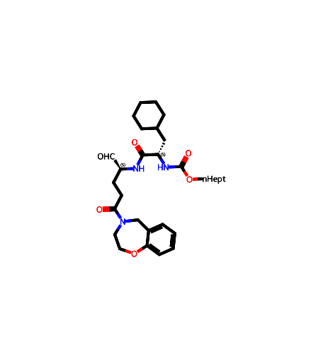 CCCCCCCOC(=O)N[C@@H](CC1CCCCC1)C(=O)N[C@H](C=O)CCC(=O)N1CCOc2ccccc2C1